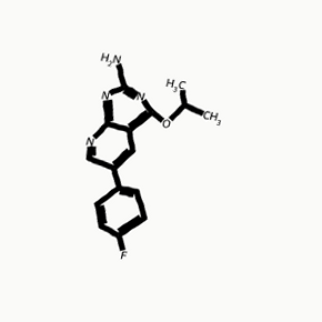 CC(C)Oc1nc(N)nc2ncc(-c3ccc(F)cc3)cc12